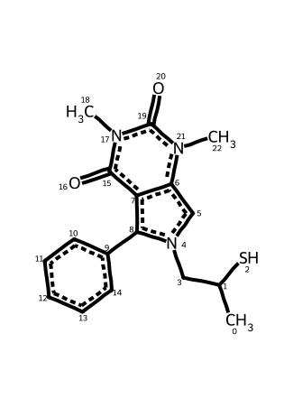 CC(S)Cn1cc2c(c1-c1ccccc1)c(=O)n(C)c(=O)n2C